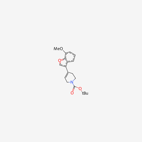 COc1cccc2c(C3=CCN(C(=O)OC(C)(C)C)CC3)coc12